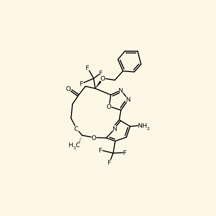 C[C@@H]1CCCC(=O)C[C@](OCc2ccccc2)(C(F)(F)F)c2nnc(o2)-c2nc(c(C(F)(F)F)cc2N)O1